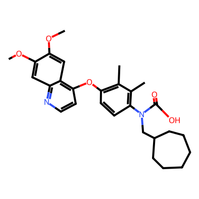 COc1cc2nccc(Oc3ccc(N(CC4CCCCCC4)C(=O)O)c(C)c3C)c2cc1OC